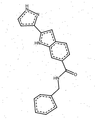 O=C(NCc1ccccc1)c1ccc2cc(-c3cc[nH]n3)[nH]c2c1